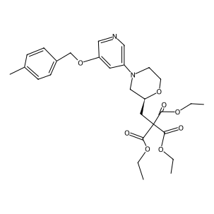 CCOC(=O)C(C[C@H]1CN(c2cncc(OCc3ccc(C)cc3)c2)CCO1)(C(=O)OCC)C(=O)OCC